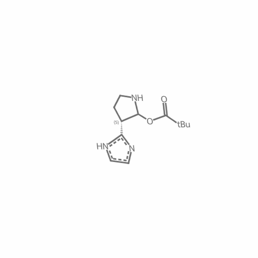 CC(C)(C)C(=O)OC1NCC[C@H]1c1ncc[nH]1